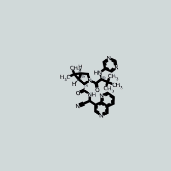 CC(C)(C)[C@H](Nc1cncnc1)C(=O)N1C[C@H]2[C@@H]([C@H]1C(=O)NC(C#N)c1cncc3cccnc13)C2(C)C